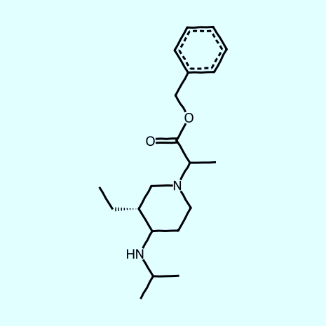 CC[C@@H]1CN(C(C)C(=O)OCc2ccccc2)CCC1NC(C)C